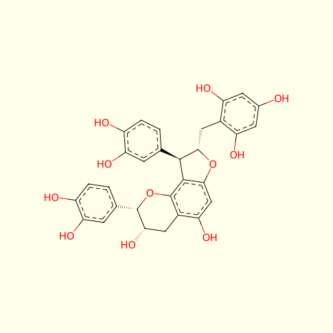 Oc1cc(O)c(C[C@@H]2Oc3cc(O)c4c(c3[C@H]2c2ccc(O)c(O)c2)O[C@@H](c2ccc(O)c(O)c2)[C@@H](O)C4)c(O)c1